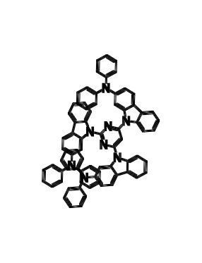 c1ccc(N(c2ccccc2)c2ccc3c4ccccc4n(-c4cc(-n5c6ccccc6c6ccc(N(c7ccccc7)c7ccccc7)cc65)nc(-n5c6ccccc6c6ccc(N(c7ccccc7)c7ccccc7)cc65)n4)c3c2)cc1